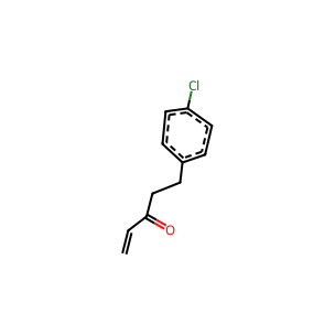 C=CC(=O)CCc1ccc(Cl)cc1